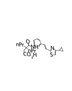 CCCC(CCC)(CC(=O)O)C(=O)Nc1cccc(/C=C/c2nc(C3CC3)cs2)c1